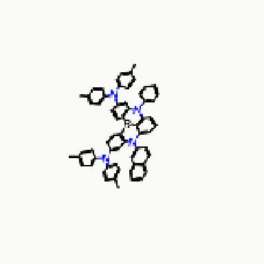 Cc1ccc(N(c2ccc(C)cc2)c2ccc3c(c2)N(c2ccccc2)c2cccc4c2B3c2ccc(N(c3ccc(C)cc3)c3ccc(C)cc3)cc2N4c2ccc3ccccc3c2)cc1